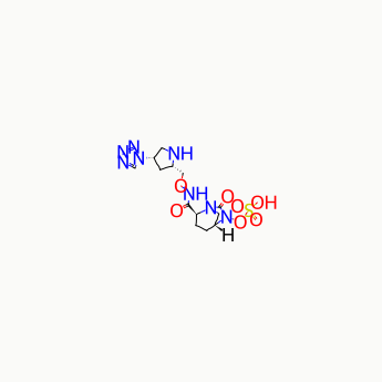 O=C(NOC[C@@H]1C[C@H](n2cnnn2)CN1)[C@@H]1CC[C@@H]2CN1C(=O)N2OS(=O)(=O)O